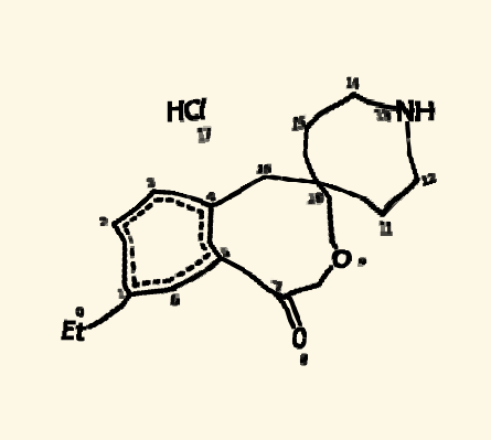 CCc1ccc2c(c1)C(=O)OC1(CCNCC1)C2.Cl